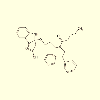 CCCCC(=O)N(CCCSC1(CC(=O)O)Nc2ccccc2N1)CC(c1ccccc1)c1ccccc1